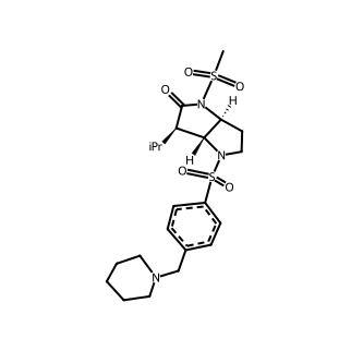 CC(C)[C@H]1C(=O)N(S(C)(=O)=O)[C@H]2CCN(S(=O)(=O)c3ccc(CN4CCCCC4)cc3)[C@H]12